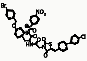 O=C(CN1C(=O)SC(=Cc2ccc(-c3ccc(Cl)cc3)cc2)C1=O)N[C@@H](Cc1ccc(OCc2ccc(Br)cc2)cc1)C(=O)NS(=O)(=O)c1ccc([N+](=O)[O-])cc1